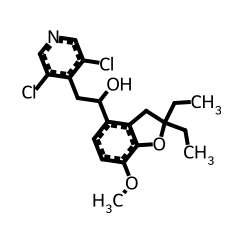 CCC1(CC)Cc2c(C(O)Cc3c(Cl)cncc3Cl)ccc(OC)c2O1